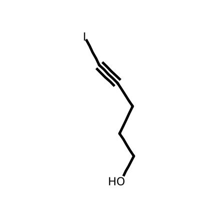 OCCCC#CI